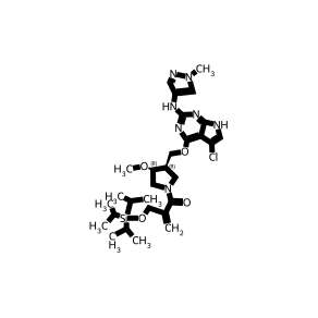 C=C(CO[Si](C(C)C)(C(C)C)C(C)C)C(=O)N1C[C@H](COc2nc(Nc3cnn(C)c3)nc3[nH]cc(Cl)c23)[C@@H](OC)C1